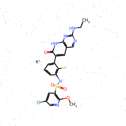 CCNc1ncc2cc(-c3cccc([N-]S(=O)(=O)c4cc(Cl)cnc4OC)c3F)c(=O)[nH]c2n1.[K+]